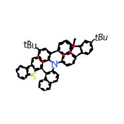 CC(C)(C)c1ccc(N(c2ccc3c(c2)C(C)(C)c2cc(C(C)(C)C)ccc2-3)c2ccc3ccccc3c2-c2cccc3c2sc2ccccc23)c(-c2ccccc2)c1